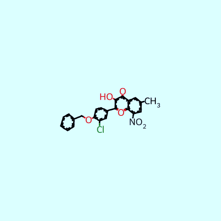 Cc1cc([N+](=O)[O-])c2oc(-c3ccc(OCc4ccccc4)c(Cl)c3)c(O)c(=O)c2c1